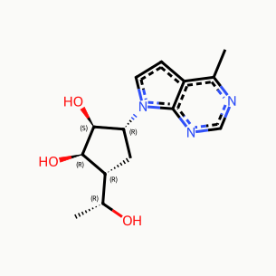 Cc1ncnc2c1ccn2[C@@H]1C[C@H]([C@@H](C)O)[C@@H](O)[C@H]1O